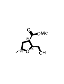 COC(=O)[C@@H]1C[C@@H](C)O[C@@H]1CO